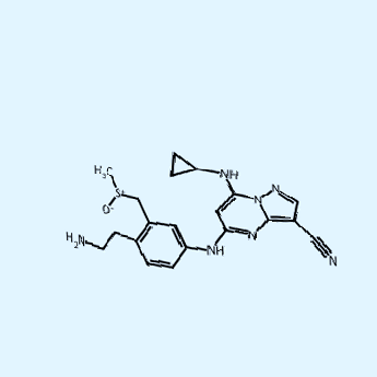 C[S+]([O-])Cc1cc(Nc2cc(NC3CC3)n3ncc(C#N)c3n2)ccc1CCN